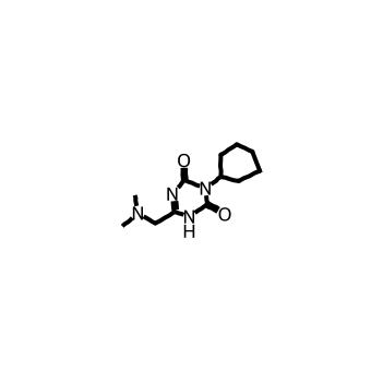 CN(C)Cc1nc(=O)n(C2CCCCC2)c(=O)[nH]1